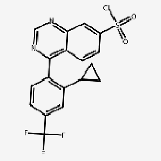 O=S(=O)(Cl)c1ccc2c(-c3ccc(C(F)(F)F)cc3C3CC3)ncnc2c1